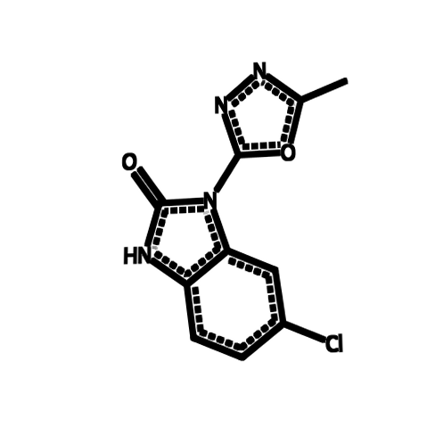 Cc1nnc(-n2c(=O)[nH]c3ccc(Cl)cc32)o1